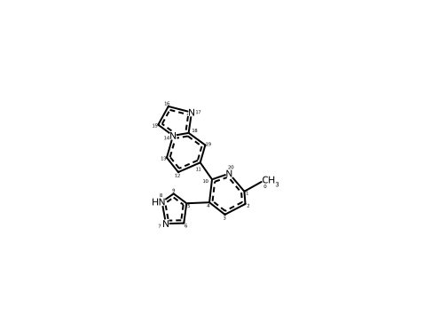 Cc1ccc(-c2cn[nH]c2)c(-c2ccn3ccnc3c2)n1